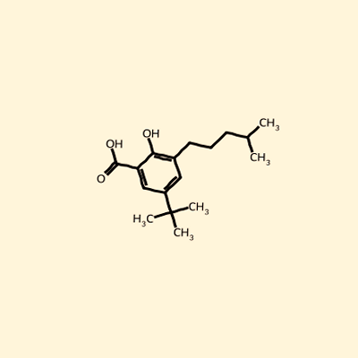 CC(C)CCCc1cc(C(C)(C)C)cc(C(=O)O)c1O